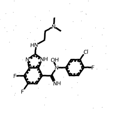 CN(C)CCNc1nc2c(F)c(F)cc(C(=N)N(O)c3ccc(F)c(Cl)c3)c2[nH]1